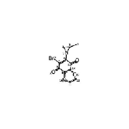 CC1CN1C1=C(Br)C(=O)c2ncccc2C1=O